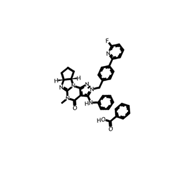 CN1C(=O)c2c(nn(Cc3ccc(-c4cccc(F)n4)cc3)c2Nc2ccccc2)N2C1=N[C@@H]1CCC[C@@H]12.O=C(O)c1ccccc1